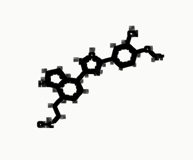 CC(C)Oc1ccc(-c2nc(-c3ccc(CCC=O)c4[nH]ccc34)no2)cc1C#N